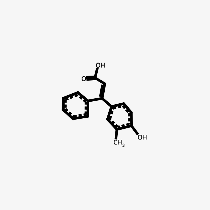 Cc1cc(/C(=C/C(=O)O)c2ccccc2)ccc1O